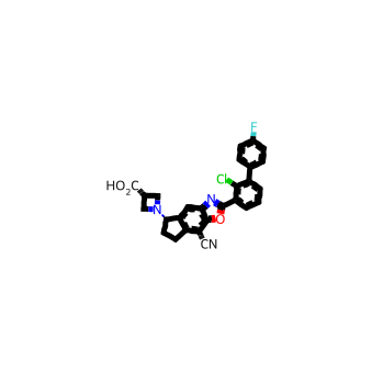 N#Cc1c2c(cc3nc(-c4cccc(-c5ccc(F)cc5)c4Cl)oc13)[C@@H](N1CC(C(=O)O)C1)CC2